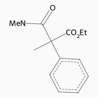 CCOC(=O)C(C)(C(=O)NC)c1ccccc1